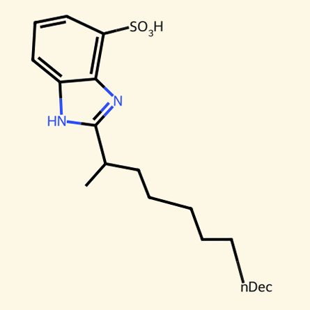 CCCCCCCCCCCCCCCC(C)c1nc2c(S(=O)(=O)O)cccc2[nH]1